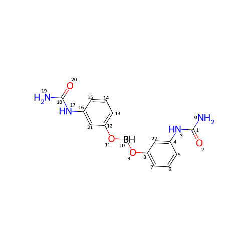 NC(=O)Nc1cccc(OBOc2cccc(NC(N)=O)c2)c1